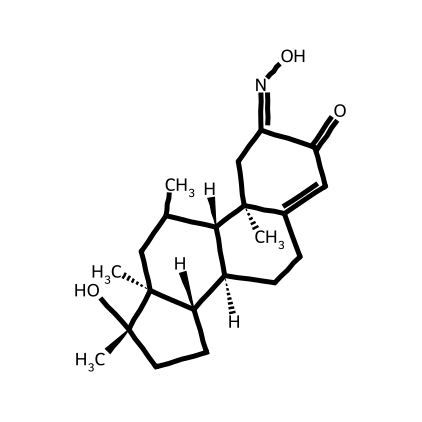 CC1C[C@@]2(C)[C@@H](CC[C@]2(C)O)[C@@H]2CCC3=CC(=O)C(=NO)C[C@]3(C)[C@@H]12